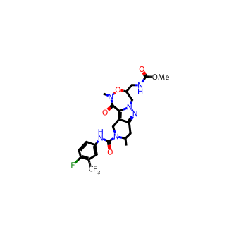 COC(=O)NCC1Cn2nc3c(c2C(=O)N(C)O1)CN(C(=O)Nc1ccc(F)c(C(F)(F)F)c1)C(C)C3